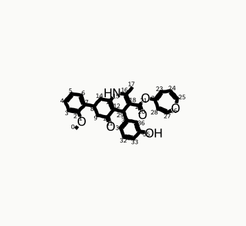 COc1ccccc1C1CC(=O)C2=C(C1)NC(C)=C(C(=O)OC1=CC=COC=C1)C2c1cccc(O)c1